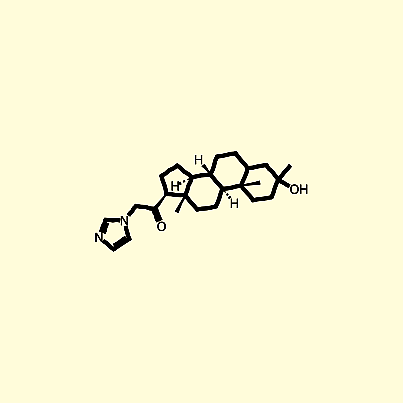 CC1(O)CC[C@@]2(C)C(CC[C@H]3[C@@H]4CC[C@H](C(=O)Cn5ccnc5)[C@@]4(C)CC[C@@H]32)C1